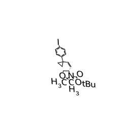 CC(C)(C)OC(=O)N1[C@@H](/C=C\C2(c3ccc(I)cc3)CC2)COC1(C)C